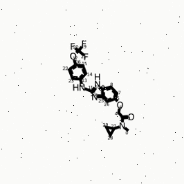 CN(C(=O)COc1ccc2[nH]c(Nc3ccc(OC(F)(F)F)cc3)nc2c1)C1CC1